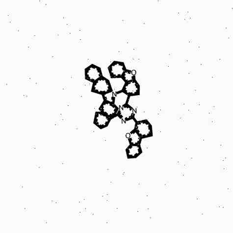 c1ccc(-c2nc(-c3ccc4oc5ccccc5c4c3-n3c4ccccc4c4cc5ccccc5cc43)nc(-c3cccc4c3oc3ccccc34)n2)cc1